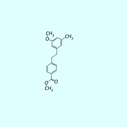 COC(=O)c1ccc(CCc2cc(C)cc(OC)c2)cc1